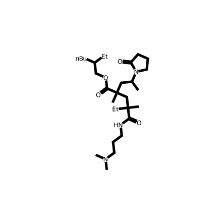 CCCCC(CC)COC(=O)C(C)(CC(C)N1CCCC1=O)CC(C)(CC)C(=O)NCCCN(C)C